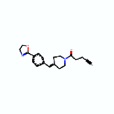 C#CCCC(=O)N1CCC(=Cc2ccc(C3=NCCO3)cc2)CC1